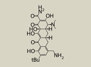 CN(C)[C@@H]1C(O)=C(C(N)=O)C(=O)[C@@]2(O)C(O)=C3C(=O)c4c(O)c(C(C)(C)C)cc(CN)c4C[C@H]3C[C@@H]12